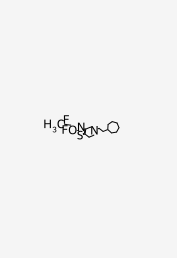 CC(F)(F)COc1nc2c(s1)CCN(CCC1CCCCCC1)C2